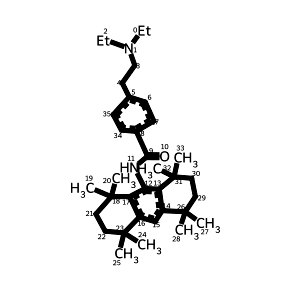 CCN(CC)CCc1c[c]c(C(=O)Nc2c3c(cc4c2C(C)(C)CCC4(C)C)C(C)(C)CCC3(C)C)cc1